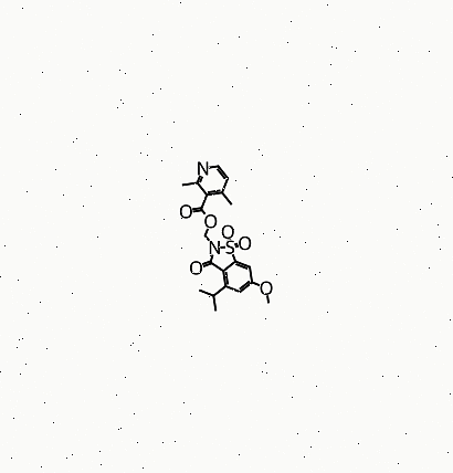 COc1cc(C(C)C)c2c(c1)S(=O)(=O)N(COC(=O)c1c(C)ccnc1C)C2=O